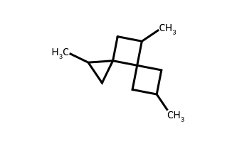 CC1CC2(C1)C(C)CC21CC1C